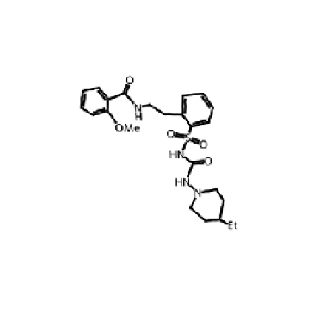 CCC1CCN(NC(=O)NS(=O)(=O)c2ccccc2CCNC(=O)c2ccccc2OC)CC1